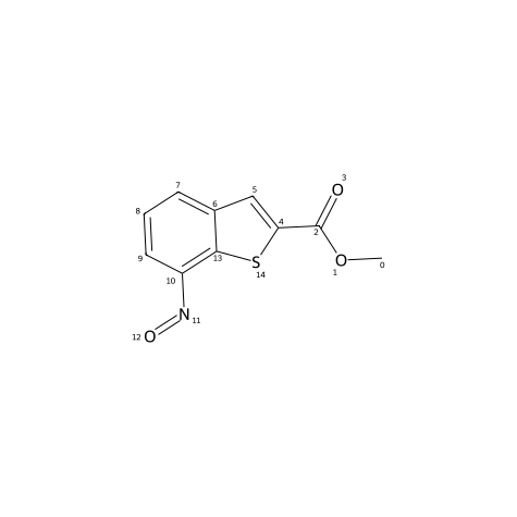 COC(=O)c1cc2cccc(N=O)c2s1